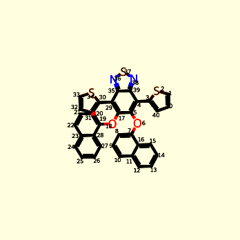 c1csc(-c2c(Oc3cccc4ccccc34)c(Oc3cccc4ccccc34)c(-c3cccs3)c3nsnc23)c1